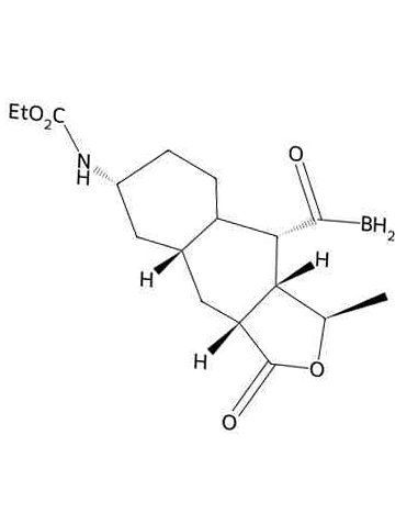 BC(=O)[C@H]1C2CC[C@@H](NC(=O)OCC)C[C@H]2C[C@H]2C(=O)O[C@H](C)[C@H]21